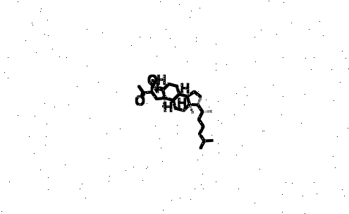 CC(=O)CC[C@@]1(C)C(=NO)CC[C@H]2[C@@H]3CC[C@H]([C@H](C)CCCC(C)C)[C@@]3(C)CC[C@@H]21